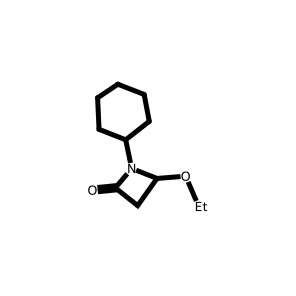 CCOC1CC(=O)N1C1CCCCC1